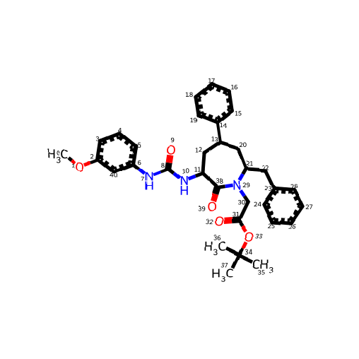 COc1cccc(NC(=O)NC2CC(c3ccccc3)CC(Cc3ccccc3)N(CC(=O)OC(C)(C)C)C2=O)c1